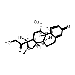 C[C@@H]1C[C@H]2[C@@H]3CCC4=CC(=O)C=C[C@]4(C)[C@@]3(F)[C@@H](O)C[C@]2(C)[C@@]1(O)C(=O)CO.[Cu]